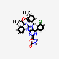 C[C@H]1OCCN(c2nc3nc(-c4n[nH]c(=O)o4)nc(-c4cccc(Cl)c4)c3n2C[C@H]2CC[C@H](C)CC2)[C@@H]1c1ccccc1